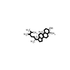 C=C(CC[C@@H](C)C1CCC2C3=C(CC[C@@]21C)[C@@]1(C)CC[C@H](O)[C@@H](C)C1CC3)C(C)C